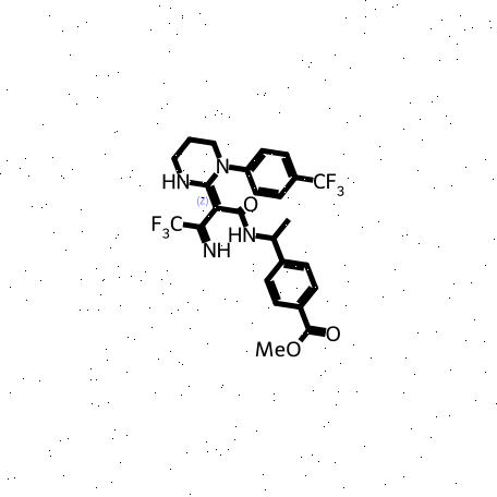 COC(=O)c1ccc(C(C)NC(=O)/C(C(=N)C(F)(F)F)=C2/NCCCN2c2ccc(C(F)(F)F)cc2)cc1